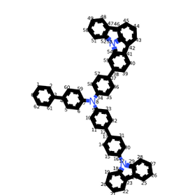 c1ccc(-c2ccc(N(c3ccc(-c4ccc(-n5c6ccccc6c6ccccc65)cc4)cc3)c3ccc(-c4ccc5c6cccc7c8ccccc8n(c5c4)c76)cc3)cc2)cc1